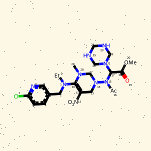 CCN(Cc1ccc(Cl)nc1)C1=C([N+](=O)[O-])CN(N(C(C)=O)C(C(=O)OC)N2CNCNC2)CN1C